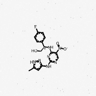 Cc1cc(Nc2ncc([N+](=O)[O-])c(N[C@@H](CO)c3ccc(F)cc3)n2)n[nH]1